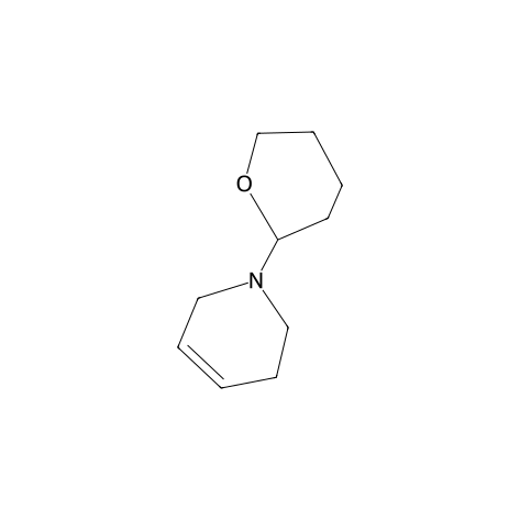 C1=CCN(C2CCCCO2)CC1